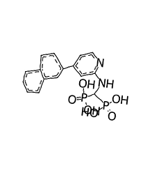 O=P(O)(O)C(Nc1cc(-c2ccc3ccccc3c2)ccn1)P(=O)(O)O